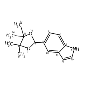 CC1(C)OC(c2ccc3[nH]ccc3c2)OC1(C)C